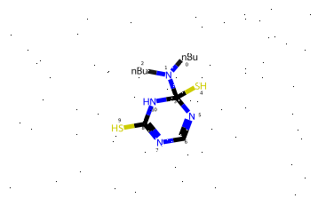 CCCCN(CCCC)C1(S)N=CN=C(S)N1